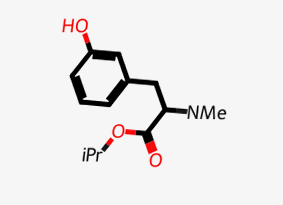 CNC(Cc1cccc(O)c1)C(=O)OC(C)C